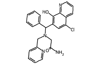 NC(=O)CN(Cc1ccccn1)C(c1ccccc1)c1cc(Cl)c2cccnc2c1O